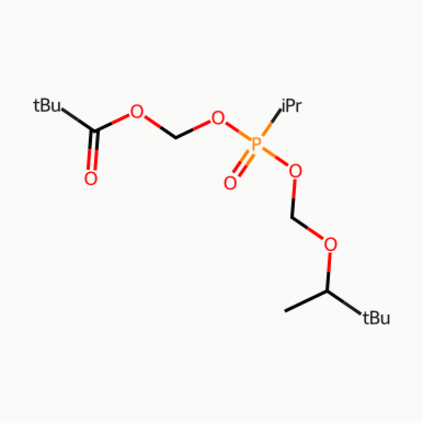 CC(OCOP(=O)(OCOC(=O)C(C)(C)C)C(C)C)C(C)(C)C